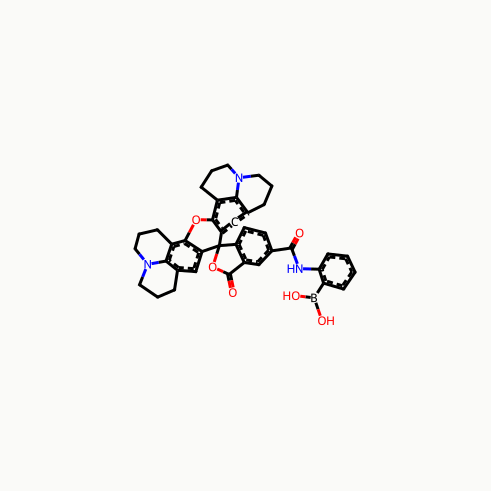 O=C(Nc1ccccc1B(O)O)c1ccc2c(c1)C(=O)OC21c2cc3c4c(c2Oc2c1cc1c5c2CCCN5CCC1)CCCN4CCC3